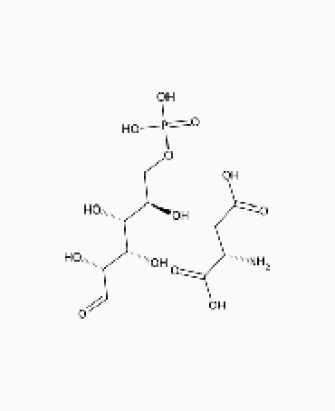 N[C@@H](CC(=O)O)C(=O)O.O=C[C@H](O)[C@@H](O)[C@H](O)[C@H](O)COP(=O)(O)O